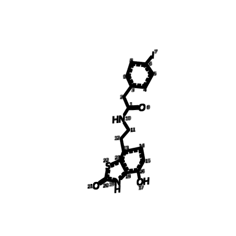 O=C(Cc1ccc(I)cc1)NCCc1ccc(O)c2[nH]c(=O)sc12